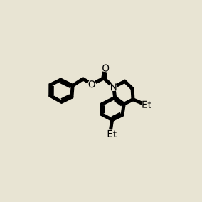 CCc1ccc2c(c1)C(CC)CCN2C(=O)OCc1ccccc1